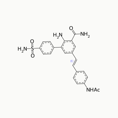 CC(=O)Nc1ccc(/C=C/c2cc(C(N)=O)c(N)c(-c3ccc(S(N)(=O)=O)cc3)c2)cc1